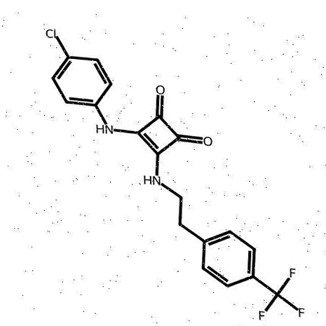 O=c1c(NCCc2ccc(C(F)(F)F)cc2)c(Nc2ccc(Cl)cc2)c1=O